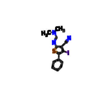 CN(C)C=Nc1sc(-c2ccccc2)c(I)c1C#N